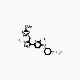 CSc1nnn(Cc2c(-c3ccc(O[C@H]4CCC[C@H](C(=O)O)C4)c(C)n3)nnn2C)n1